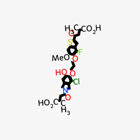 COc1cc2sc(C(=O)CC(C)C(=O)O)cc2c(F)c1OCCCOc1c(O)cc2c(c1Cl)CN(C(=O)CC(C)C(=O)O)C2